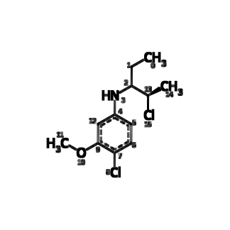 CCC(Nc1ccc(Cl)c(OC)c1)[C@@H](C)Cl